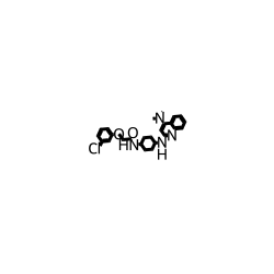 CN(C)c1cc(NC2CCC(NC(=O)COc3cccc(Cl)c3)CC2)nc2ccccc12